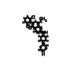 CCN1CN(c2c(Cl)cccc2Cl)C(=O)c2cnc(Nc3ccc(N4CCNCC4)cc3)nc21